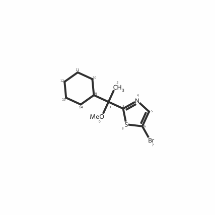 COC(C)(c1ncc(Br)s1)C1CCCCC1